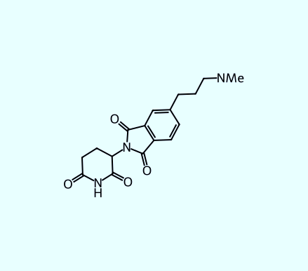 CNCCCc1ccc2c(c1)C(=O)N(C1CCC(=O)NC1=O)C2=O